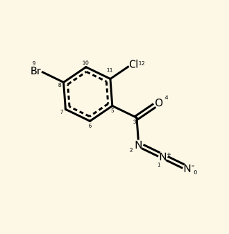 [N-]=[N+]=NC(=O)c1ccc(Br)cc1Cl